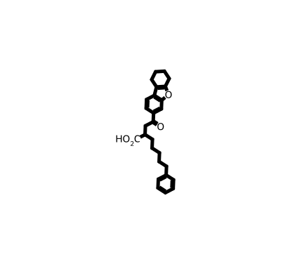 O=C(CC(CCCCCc1ccccc1)C(=O)O)c1ccc2c3c(oc2c1)CCCC3